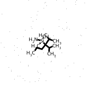 CCCC(C(C)C)(C(C)C)[Si](C)(C)N